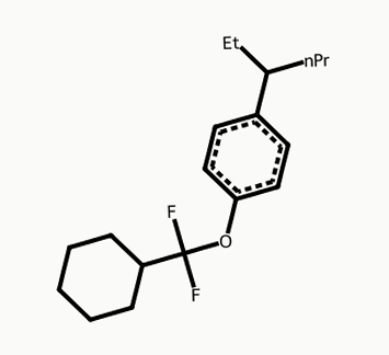 CCCC(CC)c1ccc(OC(F)(F)C2CCCCC2)cc1